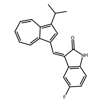 CC(C)c1cc(/C=C2\C(=O)Nc3ccc(F)cc32)c2cccccc1-2